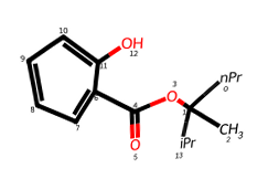 CCCC(C)(OC(=O)c1ccccc1O)C(C)C